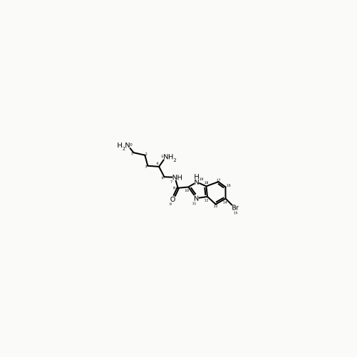 NCCCC(N)CNC(=O)c1nc2cc(Br)ccc2[nH]1